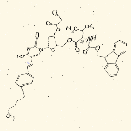 CCCCCc1ccc(/C=C/c2cn(C3CC(OC(=O)CCl)C(COC(=O)[C@@H](NC(=O)OCC4c5ccccc5-c5ccccc54)C(C)C)O3)c(=O)nc2O)cc1